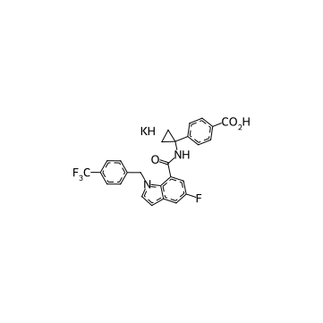 O=C(O)c1ccc(C2(NC(=O)c3cc(F)cc4ccn(Cc5ccc(C(F)(F)F)cc5)c34)CC2)cc1.[KH]